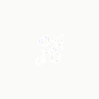 Cc1cc(C)c2c(c1)c1ncnc3cc(C4CC5CCC4C5)c4c5ccccc5n2c4c31